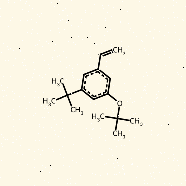 C=[C]c1cc(OC(C)(C)C)cc(C(C)(C)C)c1